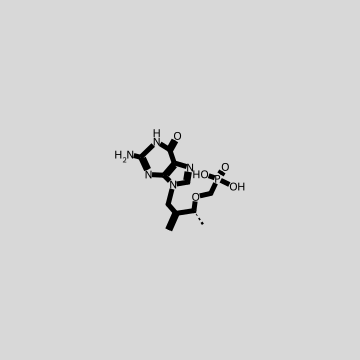 C=C(Cn1cnc2c(=O)[nH]c(N)nc21)[C@@H](C)OCP(=O)(O)O